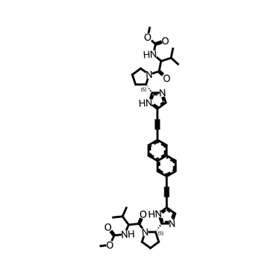 COC(=O)NC(C(=O)N1CCC[C@H]1c1ncc(C#Cc2ccc3cc(C#Cc4cnc([C@@H]5CCCN5C(=O)C(NC(=O)OC)C(C)C)[nH]4)ccc3c2)[nH]1)C(C)C